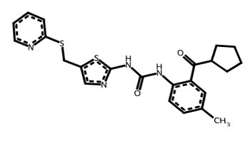 Cc1ccc(NC(=O)Nc2ncc(CSc3ccccn3)s2)c(C(=O)C2CCCC2)c1